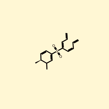 C=C/C=C\C(=C/C=C)S(=O)(=O)C1=CC(C)[C@@H](C)C=C1